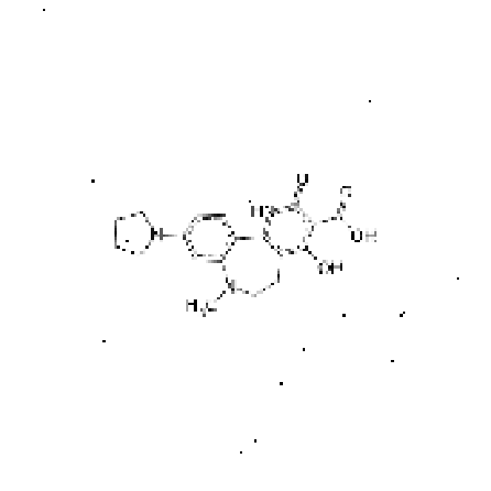 CN1CCc2c([nH]c(=O)c(C(=O)O)c2O)-c2ccc(N3CCCC3)cc21